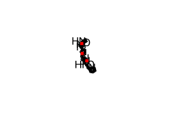 CC(=O)Nc1nnc(C2CCC(Cc3nnc(NC(=O)Cc4ccccn4)s3)C2)s1